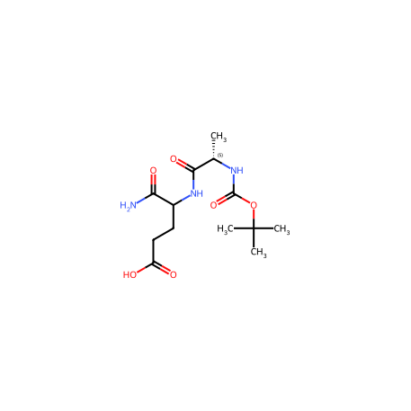 C[C@H](NC(=O)OC(C)(C)C)C(=O)NC(CCC(=O)O)C(N)=O